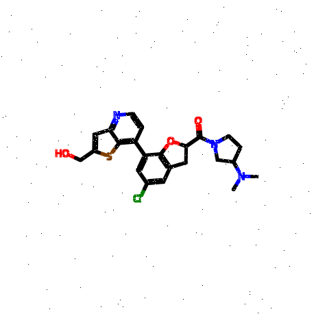 CN(C)C1CCN(C(=O)C2Cc3cc(Cl)cc(-c4ccnc5cc(CO)sc45)c3O2)C1